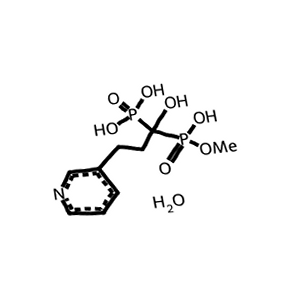 COP(=O)(O)C(O)(CCc1cccnc1)P(=O)(O)O.O